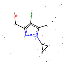 Cc1c(Br)c(CO)nn1C1CC1